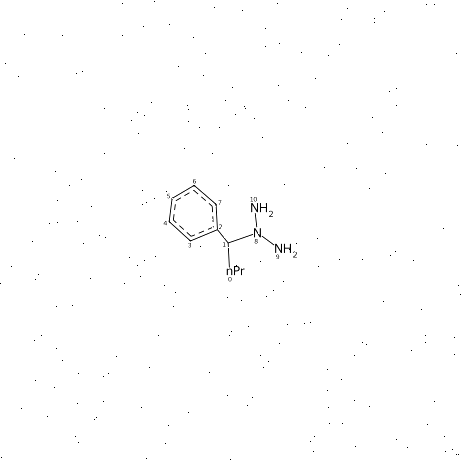 CCCC(c1ccccc1)N(N)N